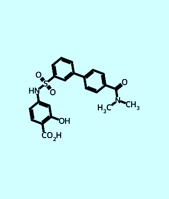 CN(C)C(=O)c1ccc(-c2cccc(S(=O)(=O)Nc3ccc(C(=O)O)c(O)c3)c2)cc1